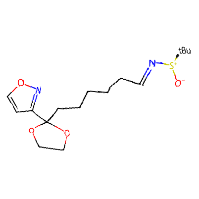 CC(C)(C)[S@@+]([O-])/N=C/CCCCCC1(c2ccon2)OCCO1